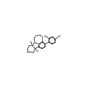 Clc1ccc(-c2ccc3c4c2SCCCN4[C@H]2CCNC[C@@H]32)c(Cl)c1